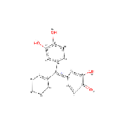 O=C1C=C/C(=C(\C2=CC=CCC2)c2ccc(O)c(O)c2)C=C1O